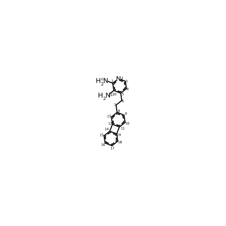 Nc1nccc(CCc2ccc3c(c2)-c2ccccc2-3)c1N